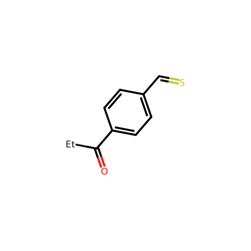 CCC(=O)c1ccc(C=S)cc1